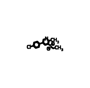 CCS(=O)(=O)c1cc(-c2ccc(Cl)cc2)cnc1C